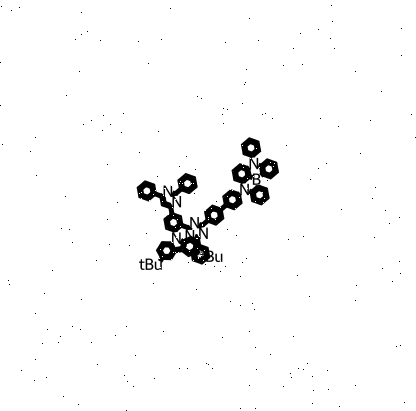 CC(C)(C)c1ccc2c(c1)c1cc(C(C)(C)C)ccc1n2-c1ccc(-c2cc(-c3ccccc3)nc(-c3ccccc3)n2)cc1-c1nc(-c2ccccc2)nc(-c2ccc(-c3ccc(N4c5ccccc5B5c6ccccc6N(c6ccccc6)c6cccc4c65)cc3)cc2)n1